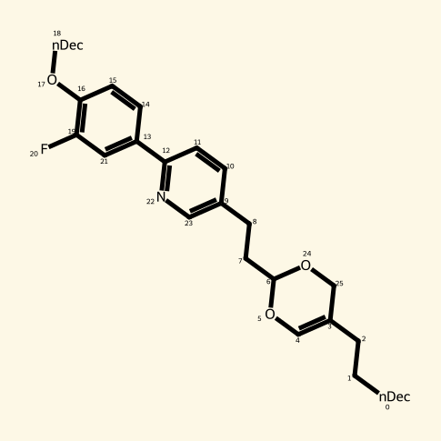 CCCCCCCCCCCCC1=COC(CCc2ccc(-c3ccc(OCCCCCCCCCC)c(F)c3)nc2)OC1